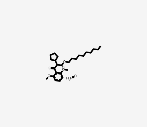 CCCCCCCCCCOC(=O)C(C(=O)c1c(OC)cccc1OC)C1CCCC1.O=[PH3]